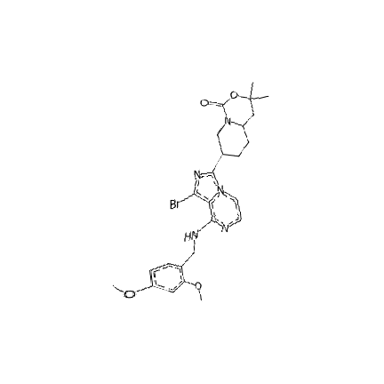 COc1ccc(CNc2nccn3c(C4CCC5CC(C)(C)OC(=O)N5C4)nc(Br)c23)c(OC)c1